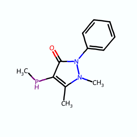 CPc1c(C)n(C)n(-c2ccccc2)c1=O